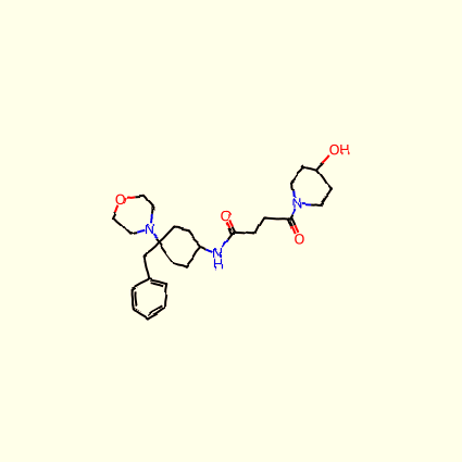 O=C(CCC(=O)N1CCC(O)CC1)NC1CCC(Cc2ccccc2)(N2CCOCC2)CC1